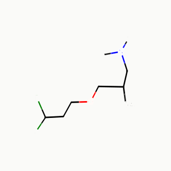 CCCN(CCC)CC(COCCC(F)F)OC(C)=O